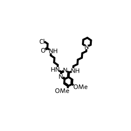 COc1cc2nc(NCCCCNC(=O)CCl)nc(NCCCCCCN3CCCCC3)c2cc1OC